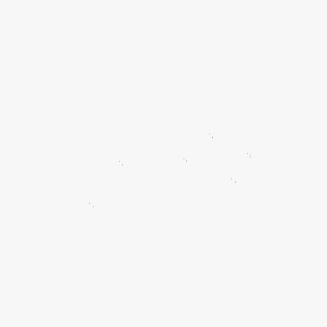 C[C@@H]1CN(c2ccnc3nccnc23)C[C@H](C(=O)NC2CCCNC2)O1